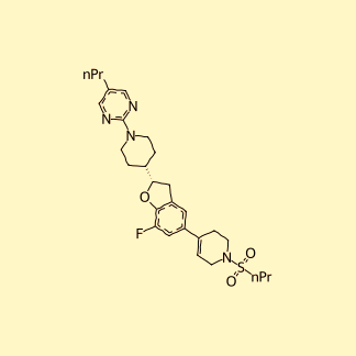 CCCc1cnc(N2CCC([C@@H]3Cc4cc(C5=CCN(S(=O)(=O)CCC)CC5)cc(F)c4O3)CC2)nc1